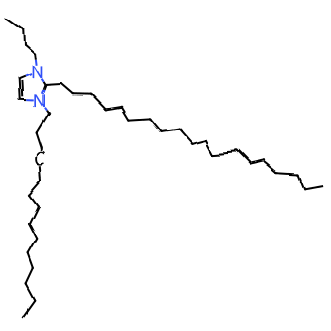 CCCCCCCCCCCCCCCCCCCC1N(CCCC)C=CN1CCCCCCCCCCCCCC